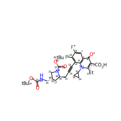 CCc1c(C(=O)O)c(=O)c2cc(F)c(F)c(C#CC[C@H]3C[C@H](CNC(=O)OC(C)(C)C)CN3C(=O)OC(C)(C)C)c2n1C1CC1